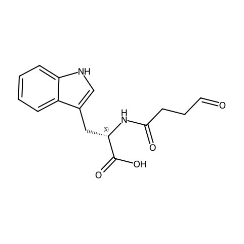 O=CCCC(=O)N[C@@H](Cc1c[nH]c2ccccc12)C(=O)O